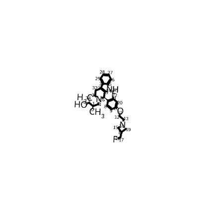 C[C@@H](CO)CN1[C@H](c2ccc(OCCN3CC(CF)C3)cc2F)c2[nH]c3ccccc3c2C[C@H]1C